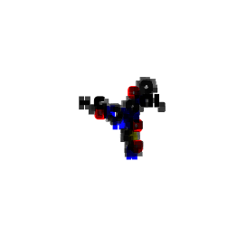 C=CC(=O)N1CCC[C@@H](n2c(NC(=O)c3ccc(-c4cnco4)s3)nc3cc(N(C)C(=O)C4CCCCC4)ccc32)CC1